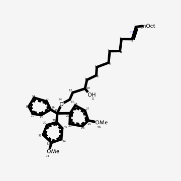 CCCCCCCC/C=C/CCCCCCCC(O)CCOC(c1ccccc1)(c1ccc(OC)cc1)c1ccc(OC)cc1